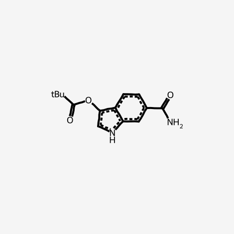 CC(C)(C)C(=O)Oc1c[nH]c2cc(C(N)=O)ccc12